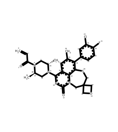 C=CC(=O)N1C[C@H](C)N(c2nc(=O)n3c4c(c(-c5ccc(F)c(Cl)c5)c(C)cc24)SCC2(COC2)C3)C[C@H]1C